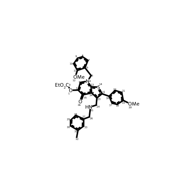 CCOC(=O)Oc1cn(Cc2ccccc2OC)c2sc(-c3ccc(OC)cc3)c(CNCc3cccc(C)c3)c2c1=O